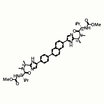 COC(=O)N[C@H](C(=O)N(C)[C@@H](C)c1ncc(-c2ccc(-c3ccc4cc(-c5cnc([C@H](C)N(C)C(=O)[C@@H](NC(=O)OC)C(C)C)[nH]5)ccc4c3)cc2)[nH]1)C(C)C